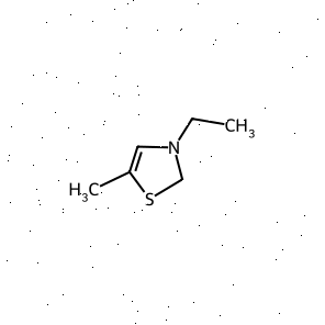 CCN1C=C(C)SC1